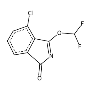 O=C1N=C(OC(F)F)c2c(Cl)cccc21